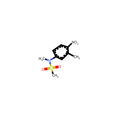 Cc1cc(N(C)S(C)(=O)=O)ccc1[N+](=O)[O-]